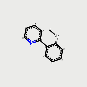 CC(C)=O.c1ccc(-c2ccccn2)cc1